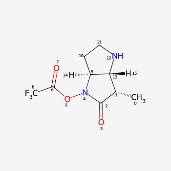 C[C@@H]1C(=O)N(OC(=O)C(F)(F)F)[C@H]2CCN[C@H]12